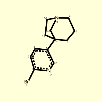 Brc1ccc(C23CCCN(CC2)C3)cn1